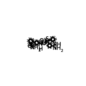 N=C(N)c1cccc(N2C(OC(=O)Nc3ccc(-c4ccccc4S(N)(=O)=O)cc3)CSC2c2ccccc2)c1